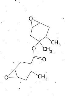 CC1CC2OC2CC1C(=O)OC1(C)CC2OC2CC1C